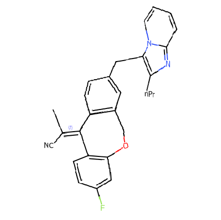 CCCc1nc2ccccn2c1Cc1ccc2c(c1)COc1cc(F)ccc1/C2=C(/C)C#N